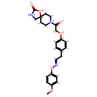 COc1ccc(ON=CCc2ccc(OCC(=O)N3CCC4(CC3)CNC(=O)O4)cc2)cc1